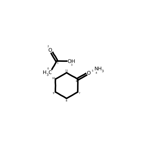 CC(=O)O.N.O=C1CCCCC1